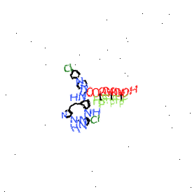 O=C(Nc1ccc2cc1CCc1cncc(c1)Nc1ncc(Cl)c(n1)N2)N1CCN(c2ccc(Cl)cc2)CC1.O=C(O)C(F)(F)F.O=C(O)C(F)(F)F.O=C(O)C(F)(F)F